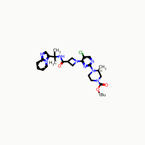 C[C@H]1CN(C(=O)OC(C)(C)C)CCN1c1ncc(Cl)c(N2CC(C(=O)NC(C)(C)c3cnc4ccccn34)C2)n1